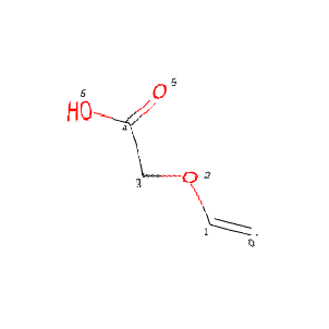 [CH]=COCC(=O)O